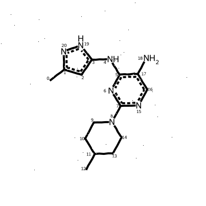 Cc1cc(Nc2nc(N3CCC(C)CC3)ncc2N)[nH]n1